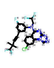 CC(C)(C#Cc1cc(F)cc(N(CC(F)F)c2nc3nncn3c3cc(Cl)ccc23)c1)C(F)F